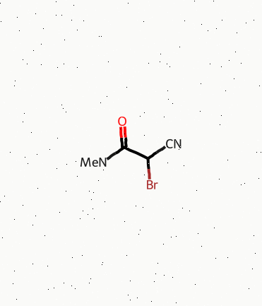 CNC(=O)C(Br)C#N